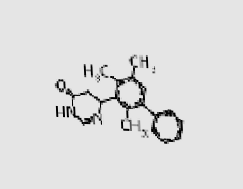 Cc1cc(-c2ccccc2)c(C)c(C2CC(=O)NC=N2)c1C